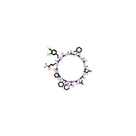 CC[C@H](C)[C@@H]1NC(=O)[C@H](CC(C)C)N(C)C(=O)C[C@@H](C(=O)N2CCCCC2)N(C)C(=O)[C@H](C2CCCCC2)N(C)C(=O)C2(CCCC2)NC(=O)CN(C/C=C/C(=O)N(C)C)C(=O)[C@H](CCc2ccc(C(F)(F)F)c(Cl)c2)NC(=O)CN(C)C(=O)[C@H](CC2CCCCC2)N(C)C(=O)CN(C)C(=O)CN(C)C1=O